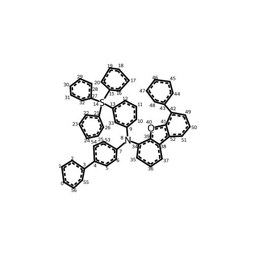 c1ccc(-c2ccc(N(c3cccc(S(c4ccccc4)(c4ccccc4)c4ccccc4)c3)c3cccc4c3oc3c(-c5ccccc5)cccc34)cc2)cc1